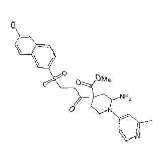 COC(=O)C1(C(=O)CCS(=O)(=O)c2ccc3cc(Cl)ccc3c2)CCN(c2ccnc(C)c2)C(N)C1